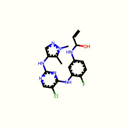 C=CC(O)Nc1ccc(F)c(Nc2nc(Nc3cnn(C)c3C)ncc2Cl)c1